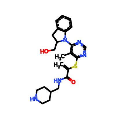 C=C(Sc1ncnc(N2c3ccccc3CC2CO)c1C)C(=O)NCC1CCNCC1